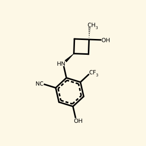 C[C@]1(O)C[C@@H](Nc2c(C#N)cc(O)cc2C(F)(F)F)C1